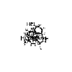 CO[C@]12CC[C@@]3(C[C@@H]1C(C)(O)C(C)(C)C)[C@@H](C)C[C@H]1C[C@@]34c3c1ccc(O)c3O[C@@H]24